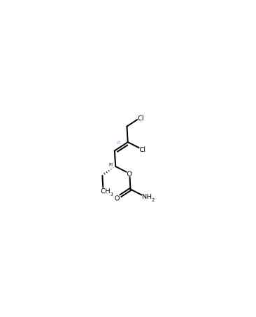 CC[C@H](/C=C(\Cl)CCl)OC(N)=O